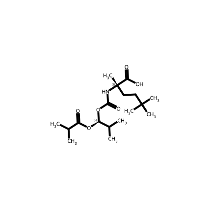 CC(C)C(=O)O[C@@H](OC(=O)N[C@@](C)(CCC(C)(C)C)C(=O)O)C(C)C